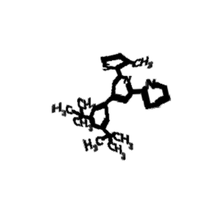 Cc1ccsc1-c1cc(-c2cc(C(C)(C)C)cc(C(C)(C)C)c2)cc(-c2ccccn2)n1